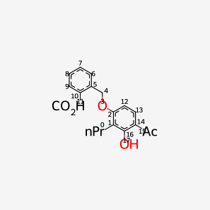 CCCc1c(OCc2ccccc2C(=O)O)ccc(C(C)=O)c1O